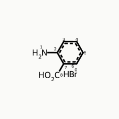 Br.Nc1ccccc1C(=O)O